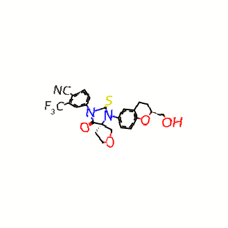 N#Cc1ccc(N2C(=O)[C@@]3(CCOC3)N(c3ccc4c(c3)CC[C@@H](CO)O4)C2=S)cc1C(F)(F)F